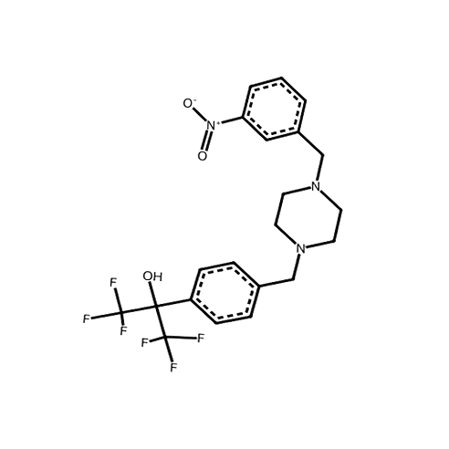 O=[N+]([O-])c1cccc(CN2CCN(Cc3ccc(C(O)(C(F)(F)F)C(F)(F)F)cc3)CC2)c1